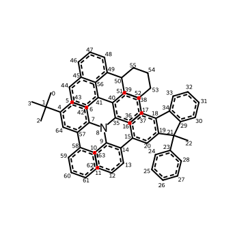 CC(C)(C)c1ccc(N(c2ccccc2-c2ccc3c(c2)C(C)(c2ccccc2)c2ccccc2-3)c2ccccc2-c2cccc3cccc(C4CCCCC4)c23)c(-c2ccccc2)c1